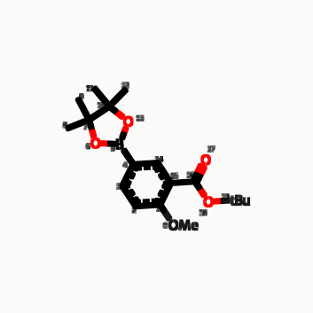 COc1ccc(B2OC(C)(C)C(C)(C)O2)cc1C(=O)OC(C)(C)C